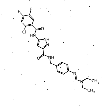 CCN(C=Nc1ccc(CNC(=O)c2cc(NC(=O)c3cc(F)c(F)cc3Cl)[nH]n2)cc1)CC